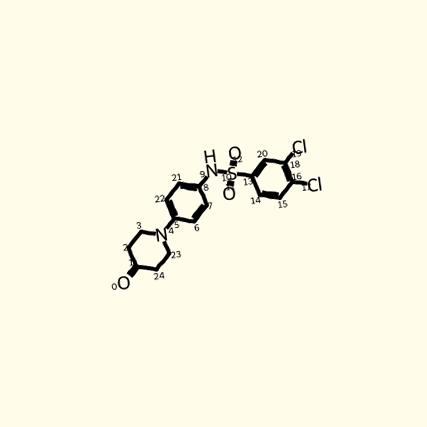 O=C1CCN(c2ccc(NS(=O)(=O)c3ccc(Cl)c(Cl)c3)cc2)CC1